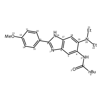 CCCCC(=O)Nc1cc2nc(-c3ccc(OC)cc3)[nH]c2cc1N(CC)CC